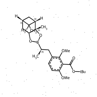 COc1ccc(C[C@@H](C)B2OC3C[C@@H]4C[C@@H](C4(C)C)[C@]3(C)O2)c(OC)c1C(=O)OC(C)(C)C